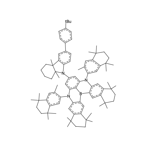 Cc1cc2c(cc1N1c3cc4c(cc3B3c5cc6c(cc5N(c5cc7c(cc5C)C(C)(C)CCC7(C)C)c5cc(N7c8ccc(-c9ccc(C(C)(C)C)cc9)cc8C8(C)CCCCC78C)cc1c53)C(C)(C)CCC6(C)C)C(C)(C)CCC4(C)C)C(C)(C)CCC2(C)C